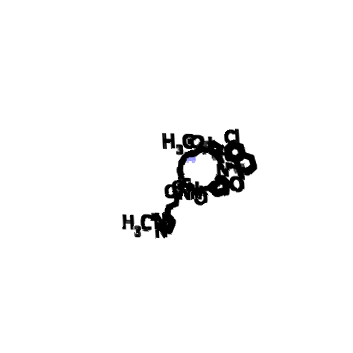 CCn1nccc1CCC(=O)NS1(=O)=NC(=O)c2ccc3c(c2)N(C[C@@H]2CC[C@H]2[C@@H](OC)/C=C/CCC1)C[C@@]1(CCCc2cc(Cl)ccc21)CO3